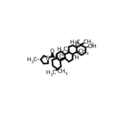 C[C@H]1CCN(C(=O)[C@]23CCC(C)(C)CC2=C2CC[C@@H]4[C@@]5(C)CC[C@H](O)C(C)(C)[C@@H]5CC[C@@]4(C)[C@]2(C)CC3)C1